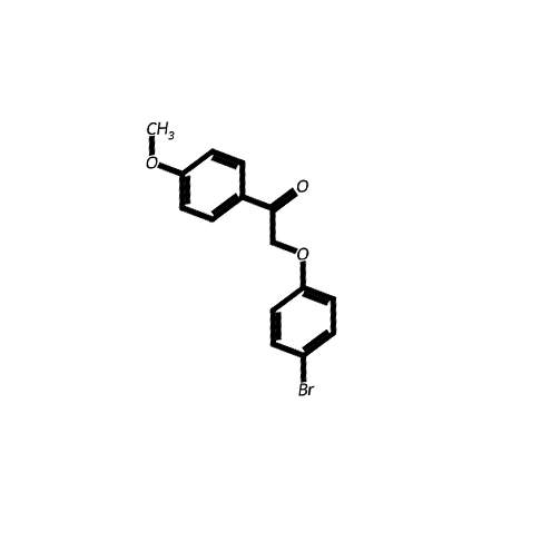 COc1ccc(C(=O)COc2ccc(Br)cc2)cc1